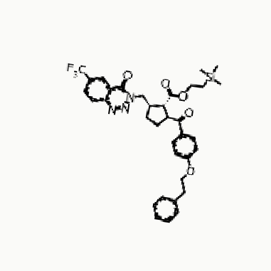 C[Si](C)(C)CCOC(=O)[C@H]1[C@H](Cn2nnc3ccc(C(F)(F)F)cc3c2=O)CC[C@@H]1C(=O)c1ccc(OCCc2ccccc2)cc1